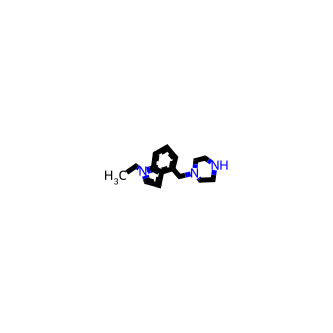 CCn1ccc2c(CN3CCNCC3)cccc21